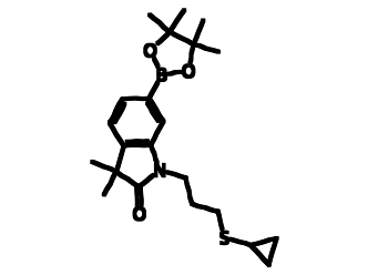 CC1(C)C(=O)N(CCCSC2CC2)c2cc(B3OC(C)(C)C(C)(C)O3)ccc21